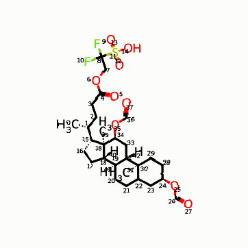 C[C@H](CCC(=O)OCC(F)(F)S(=O)(=O)O)[C@H]1CC[C@H]2[C@@H]3CCC4C[C@H](OC=O)CC[C@]4(C)[C@H]3C[C@H](OC=O)[C@]12C